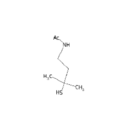 CC(=O)NCCC(C)(C)S